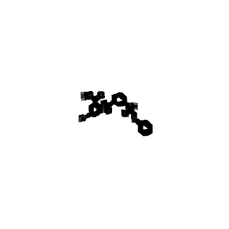 O=C(CSc1ccccc1)Nc1cccc(C(=O)Nc2ccc(Br)cc2C(=O)O)c1